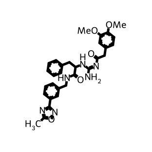 COc1ccc(CC(=O)N=C(N)NC(Cc2ccccc2)C(=O)NCc2cccc(-c3noc(C)n3)c2)cc1OC